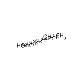 CCCCCCC(O)CC=CCCCCCCCCO